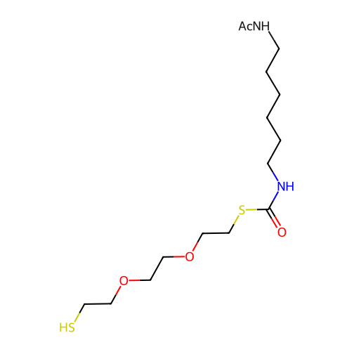 CC(=O)NCCCCCCNC(=O)SCCOCCOCCS